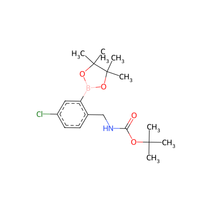 CC(C)(C)OC(=O)NCc1ccc(Cl)cc1B1OC(C)(C)C(C)(C)O1